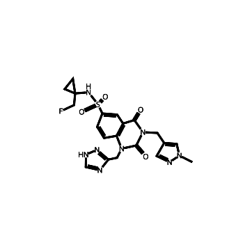 Cn1cc(Cn2c(=O)c3cc(S(=O)(=O)NC4(CF)CC4)ccc3n(Cc3nc[nH]n3)c2=O)cn1